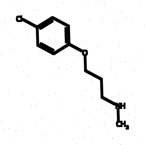 CNCCCOc1ccc(Cl)cc1